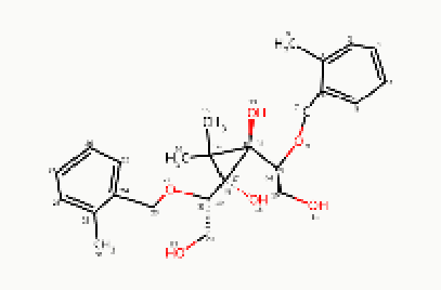 Cc1ccccc1CO[C@@H](CO)[C@@]1(O)C(C)(C)[C@]1(O)[C@H](CO)OCc1ccccc1C